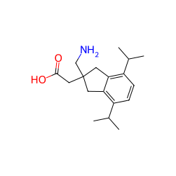 CC(C)c1ccc(C(C)C)c2c1CC(CN)(CC(=O)O)C2